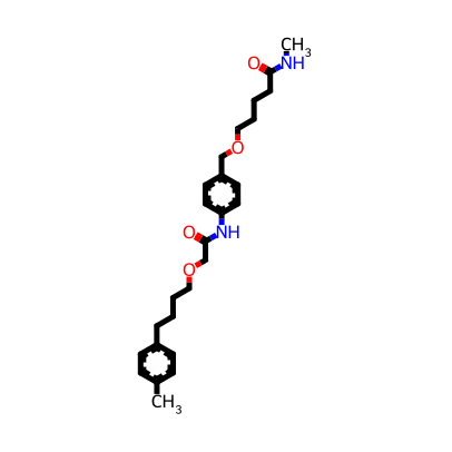 CNC(=O)CCCCOCc1ccc(NC(=O)COCCCCc2ccc(C)cc2)cc1